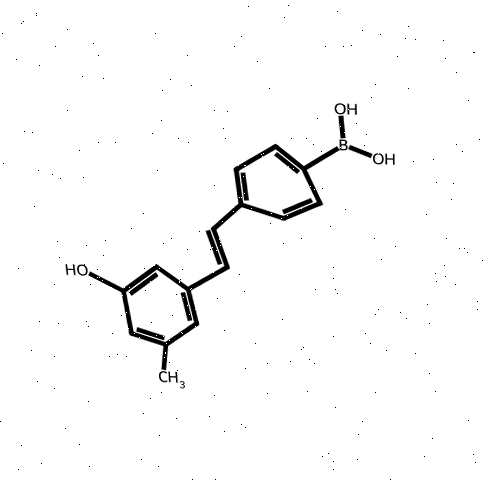 Cc1cc(O)cc(/C=C/c2ccc(B(O)O)cc2)c1